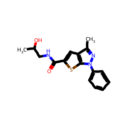 Cc1nn(-c2ccccc2)c2sc(C(=O)NCC(C)O)cc12